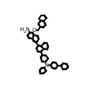 Nc1ccc2cc(-c3ccc(-c4ccc(N(c5ccccc5)c5ccc(-c6ccccc6)cc5)cc4)c4ccccc34)ccc2c1OCc1ccc2c(c1)CCC=C2